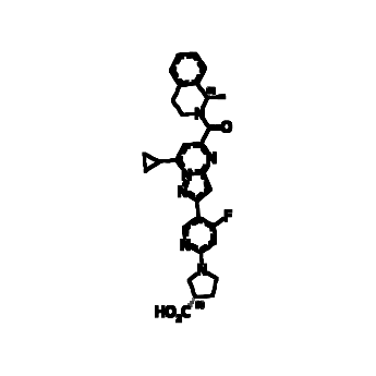 C[C@@H]1c2ccccc2CCN1C(=O)c1cc(C2CC2)n2nc(-c3cnc(N4CC[C@H](C(=O)O)C4)cc3F)cc2n1